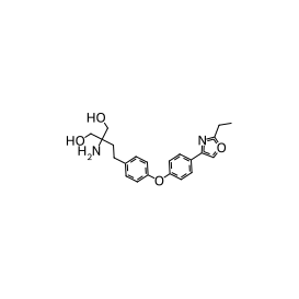 CCc1nc(-c2ccc(Oc3ccc(CCC(N)(CO)CO)cc3)cc2)co1